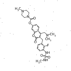 CNS(=O)(=O)Nc1cccc(Cc2c(CN(C)C)c3ccc(OC(=O)N4CCN(C)CC4)cc3oc2=O)c1F